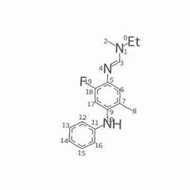 CCN(C)C=Nc1cc(C)c(Nc2ccccc2)cc1F